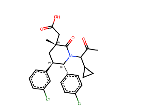 CC(=O)C(C1CC1)N1C(=O)[C@@](C)(CC(=O)O)C[C@H](c2cccc(Cl)c2)[C@H]1c1ccc(Cl)cc1